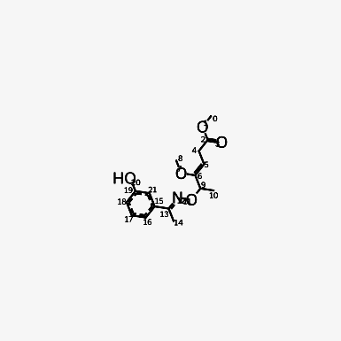 COC(=O)CC=C(OC)C(C)ON=C(C)c1cccc(O)c1